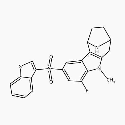 Cn1c2c(c3cc(S(=O)(=O)c4csc5ccccc45)cc(F)c31)C1CCC(C2)N1